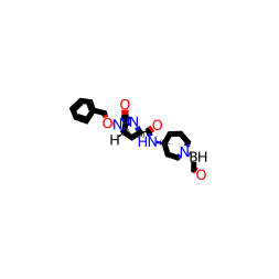 O=CBN1CCC[C@H](NC(=O)[C@@H]2C[C@@H]3CN2C(=O)N3OCc2ccccc2)CC1